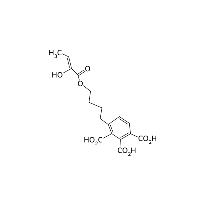 CC=C(O)C(=O)OCCCCc1ccc(C(=O)O)c(C(=O)O)c1C(=O)O